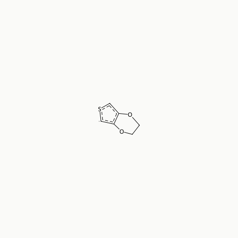 [c]1scc2c1OCCO2